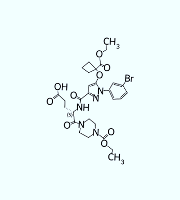 CCOC(=O)N1CCN(C(=O)[C@H](CCC(=O)O)NC(=O)c2cc(OC3(C(=O)OCC)CCC3)n(-c3cccc(Br)c3)n2)CC1